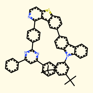 CC(C)(C)c1cc(-n2c3ccccc3c3cc(-c4ccc5sc6ccnc(-c7ccc(-c8nc(-c9ccccc9)cc(-c9ccccc9)n8)cc7)c6c5c4)ccc32)cc(C(C)(C)C)c1